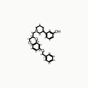 Oc1cccc(C2CCCN(CC3COc4ccc(OCc5ccccc5)cc4O3)C2)c1